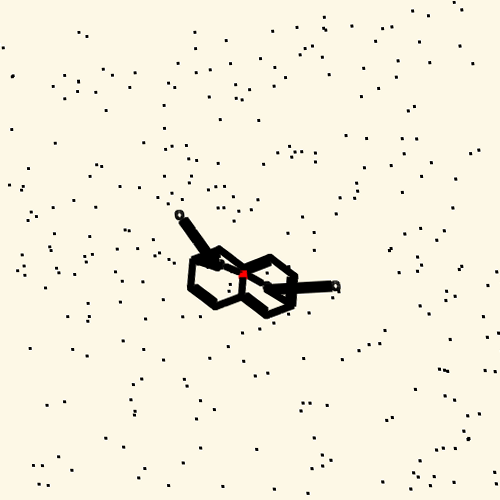 O=C1OCCOC(=O)c2ccc3[c]c1ccc3c2